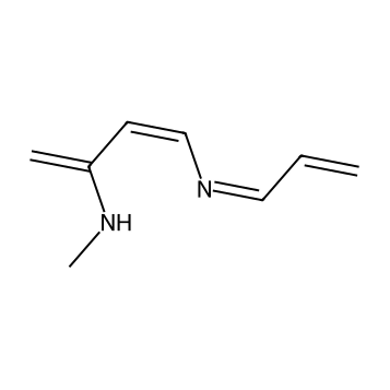 C=C/C=N\C=C/C(=C)NC